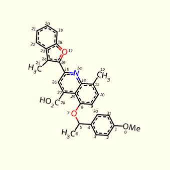 COc1ccc(C(C)Oc2ccc(C)c3nc(-c4oc5ccccc5c4C)cc(C(=O)O)c23)cc1